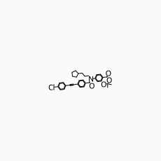 CC1(C)OC(=O)c2ccc(N(CCCC3CCCC3)C(=O)c3ccc(C#Cc4ccc(Cl)cc4)cc3)cc2O1